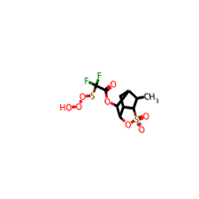 CC1C2CC3C(OS(=O)(=O)C13)C2OC(=O)C(F)(F)SOOO